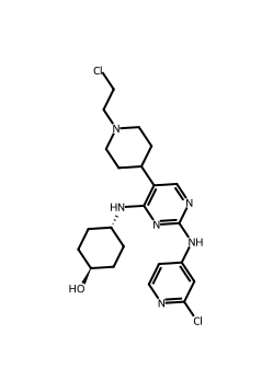 O[C@H]1CC[C@H](Nc2nc(Nc3ccnc(Cl)c3)ncc2C2CCN(CCCl)CC2)CC1